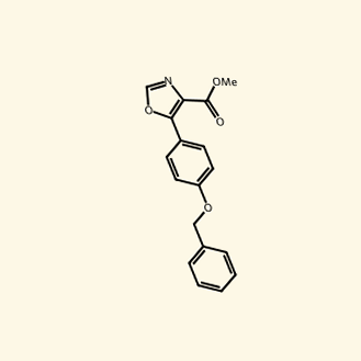 COC(=O)c1ncoc1-c1ccc(OCc2ccccc2)cc1